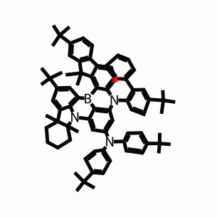 CC(C)(C)c1ccc(N(c2ccc(C(C)(C)C)cc2)c2cc3c4c(c2)N2c5c(cc(C(C)(C)C)cc5C5(C)CCCCC25C)B4c2c(ccc4c2C(C)(C)c2cc(C(C)(C)C)ccc2-4)N3c2ccc(C(C)(C)C)cc2-c2ccccc2)cc1